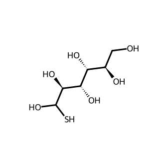 OC[C@@H](O)[C@@H](O)[C@H](O)[C@H](O)C(O)S